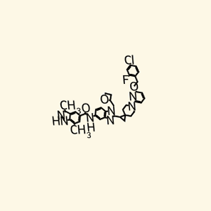 Cc1n[nH]c2c(C)cc(C(=O)Nc3ccc4c(c3)nc(C3CC35CCN(c3cccc(OCc6ccc(Cl)cc6F)n3)CC5)n4CC3CCO3)cc12